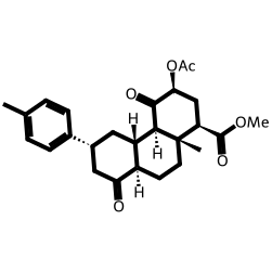 COC(=O)[C@@H]1C[C@H](OC(C)=O)C(=O)[C@@H]2[C@H]3C[C@@H](c4ccc(C)cc4)CC(=O)[C@@H]3CC[C@]21C